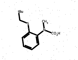 CN(C(=O)O)c1ccccc1SCC(C)(C)C